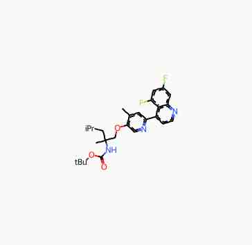 Cc1cc(-c2ccnc3cc(F)cc(F)c23)ncc1OCC(C)(CC(C)C)NC(=O)OC(C)(C)C